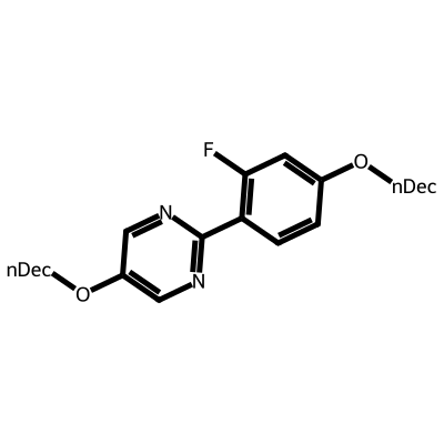 CCCCCCCCCCOc1cnc(-c2ccc(OCCCCCCCCCC)cc2F)nc1